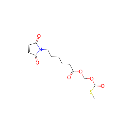 CSC(=O)OCOC(=O)CCCCCN1C(=O)C=CC1=O